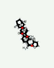 CC(=O)c1ccc(N2[C@@H]3CC[C@H]2C[C@@H](NC(=O)c2ccc(C(N)=O)c(NC4CCOC4)c2)C3)nc1